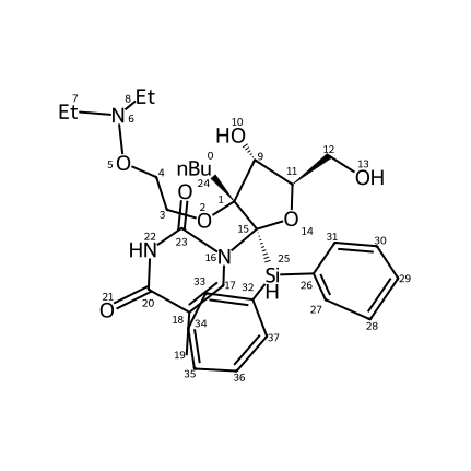 CCCC[C@@]1(OCCON(CC)CC)[C@H](O)[C@@H](CO)O[C@]1(n1cc(C)c(=O)[nH]c1=O)[SiH](c1ccccc1)c1ccccc1